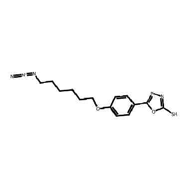 [N-]=[N+]=NCCCCCCOc1ccc(-c2nnc(S)o2)cc1